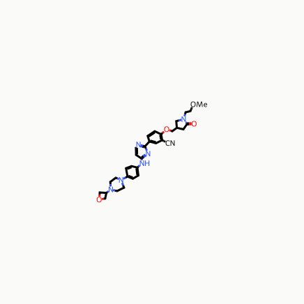 COCCN1CC(COc2ccc(-c3nccc(Nc4ccc(N5CCN(C6COC6)CC5)cc4)n3)cc2C#N)CC1=O